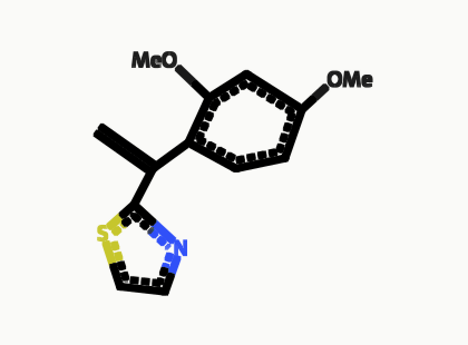 C=C(c1nccs1)c1ccc(OC)cc1OC